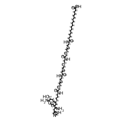 NC(=O)[C@H](CO)CC(=O)[C@H](CCCCNC(=O)COCCOCCNC(=O)COCCOCCNC(=O)COCCOCCNC(=O)CCCCCCCCCCCCCCCCC(=O)O)CC(=O)[C@@H](N)Cc1cnc[nH]1